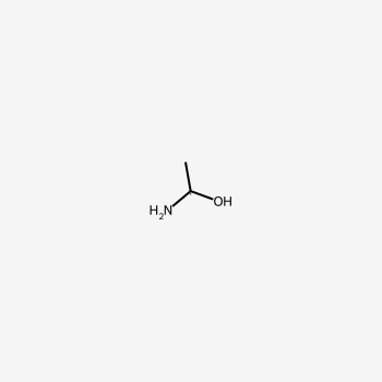 C[C](N)O